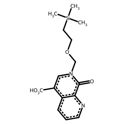 C[Si](C)(C)CCOCn1cc(C(=O)O)c2cccnc2c1=O